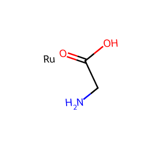 NCC(=O)O.[Ru]